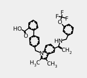 C=C(NCc1cccc(OC(F)(F)F)c1)c1ccc2c(c1)c(C)c(C)n2Cc1ccc(-c2ccccc2C(=O)O)cc1